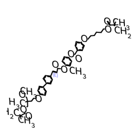 C=C(C)C(=O)OCCCCCCOc1ccc(C(=O)Oc2ccc(OC(=O)/C=C/c3ccc(-c4ccc(OCCC(C)(COC)COC(=O)C(=C)C)cc4)cc3)c(C)c2)cc1